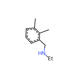 CCNCc1cccc(C)c1C